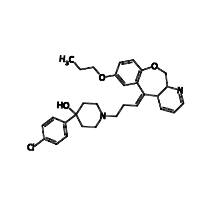 CCCOc1ccc2c(c1)C(=CCCN1CCC(O)(c3ccc(Cl)cc3)CC1)C1C=CC=NC1CO2